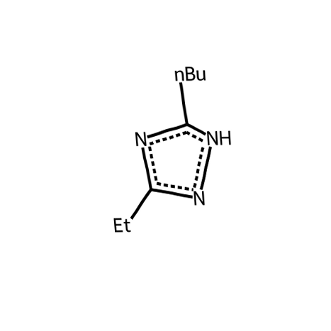 CCCCc1nc(CC)n[nH]1